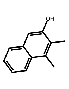 Cc1c(O)cc2ccccc2c1C